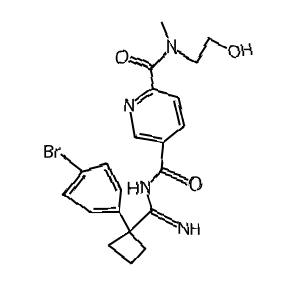 CN(CCO)C(=O)c1ccc(C(=O)NC(=N)C2(c3ccc(Br)cc3)CCC2)cn1